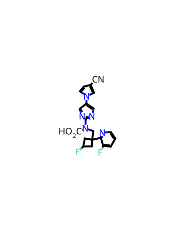 N#Cc1ccn(-c2cnc(N(CC3(c4ncccc4F)CC(F)C3)C(=O)O)nc2)c1